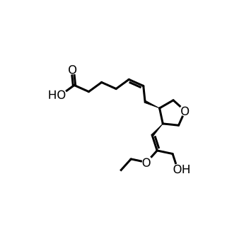 CCO/C(=C/[C@@H]1COC[C@@H]1C/C=C\CCCC(=O)O)CO